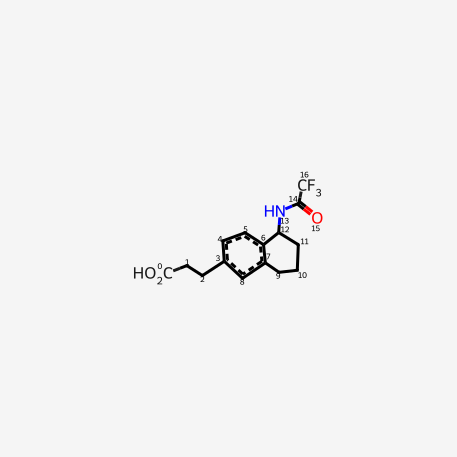 O=C(O)CCc1ccc2c(c1)CCCC2NC(=O)C(F)(F)F